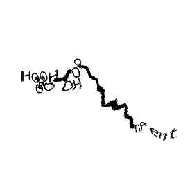 CCCCCC=CCCCCCCCCCCC(=O)OCC(O)COP(=O)(O)O